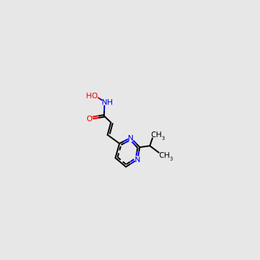 CC(C)c1nccc(/C=C/C(=O)NO)n1